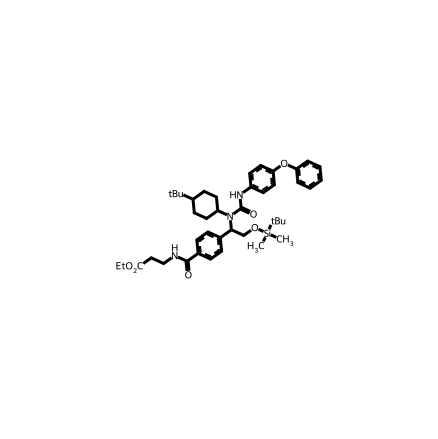 CCOC(=O)CCNC(=O)c1ccc(C(CO[Si](C)(C)C(C)(C)C)N(C(=O)Nc2ccc(Oc3ccccc3)cc2)C2CCC(C(C)(C)C)CC2)cc1